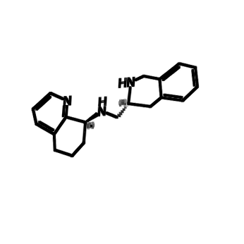 c1ccc2c(c1)CN[C@@H](CN[C@H]1CCCc3cccnc31)C2